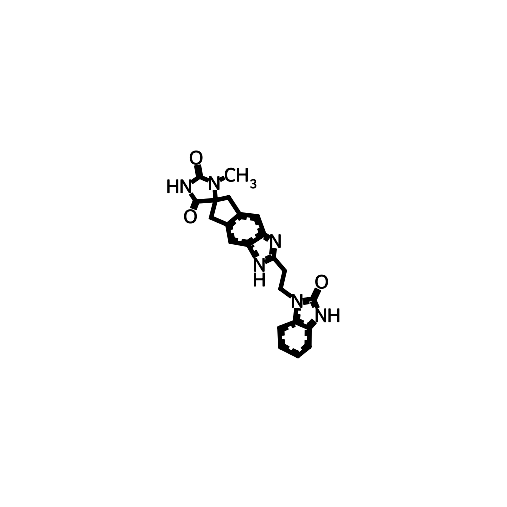 CN1C(=O)NC(=O)C12Cc1cc3nc(CCn4c(=O)[nH]c5ccccc54)[nH]c3cc1C2